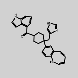 O=C(c1cccc2[nH]ccc12)C1CCC(Cc2c[nH]cn2)(c2ccc3c(c2)C=NC=CN3)CC1